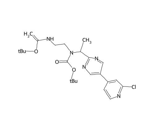 C=C(NCCN(C(=O)OC(C)(C)C)C(C)c1ncc(-c2ccnc(Cl)c2)cn1)OC(C)(C)C